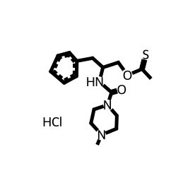 CC(=S)OCC(Cc1ccccc1)NC(=O)N1CCN(C)CC1.Cl